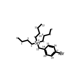 CCC[CH2][Sn]([CH2]CCC)([CH2]CCC)[CH2]c1ccc(Br)cc1